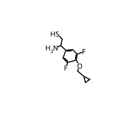 NC(CS)c1cc(F)c(OCC2CC2)c(F)c1